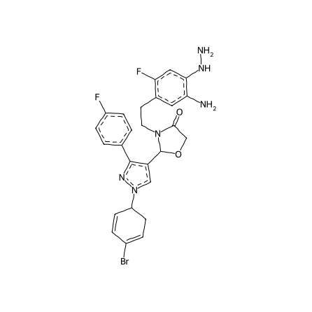 NNc1cc(F)c(CCN2C(=O)COC2c2cn(C3C=CC(Br)=CC3)nc2-c2ccc(F)cc2)cc1N